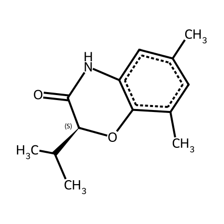 Cc1cc(C)c2c(c1)NC(=O)[C@H](C(C)C)O2